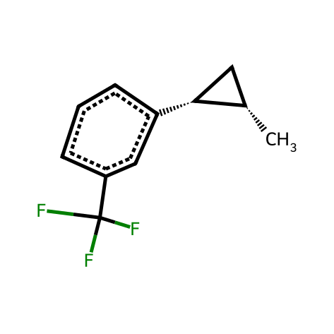 C[C@H]1C[C@H]1c1cccc(C(F)(F)F)c1